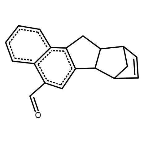 O=Cc1cc2c(c3ccccc13)CC1C3C=CC(C3)C21